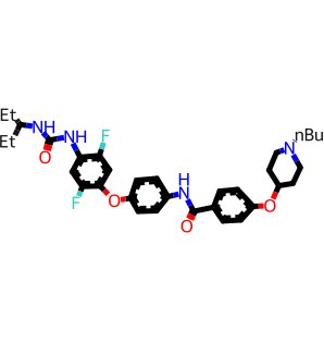 CCCCN1CCC(Oc2ccc(C(=O)Nc3ccc(Oc4cc(F)c(NC(=O)NC(CC)CC)cc4F)cc3)cc2)CC1